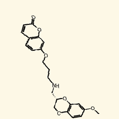 COc1ccc2c(c1)O[C@@H](CNCCCOc1ccc3ccc(=O)oc3c1)CO2